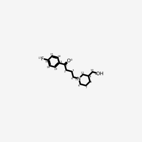 O=C(CCCN1CCCC(CO)C1)c1ccc(F)cc1